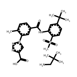 CC(C)(C)CN.Cc1ccc(C(=O)Nc2cc(C(C)(C)C)ccc2S(C)(=O)=O)cc1-n1cc(C(=O)O)nn1